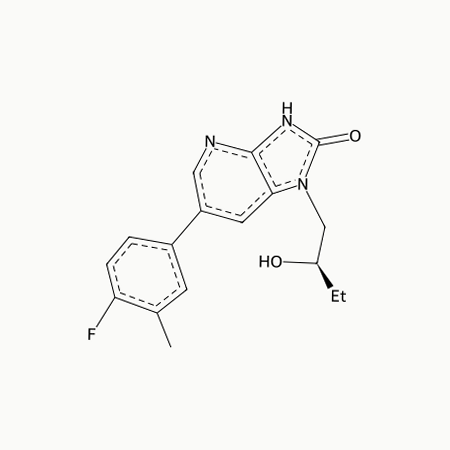 CC[C@@H](O)Cn1c(=O)[nH]c2ncc(-c3ccc(F)c(C)c3)cc21